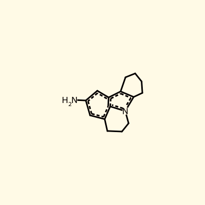 Nc1cc2c3c(c1)c1c(n3CCC2)CCCC1